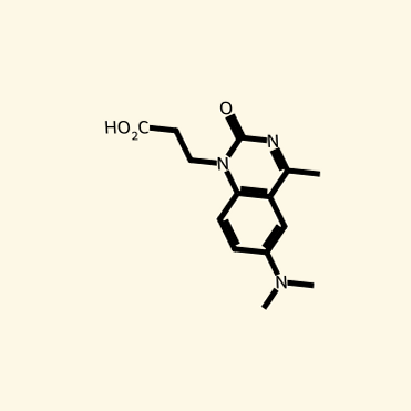 Cc1nc(=O)n(CCC(=O)O)c2ccc(N(C)C)cc12